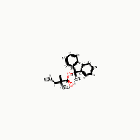 CCC(OC(=O)C(C)(CC(C)(C)C)C(C)(C)C)(c1ccccc1)c1ccccc1